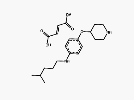 CC(C)CCCNc1ccc(OC2CCNCC2)cc1.O=C(O)C=CC(=O)O